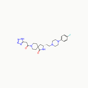 O=C(Cc1nnn[nH]1)N1CCC2(CC1)C[C@H](CCN1CCN(c3ccc(F)cc3)CC1)NC2=O